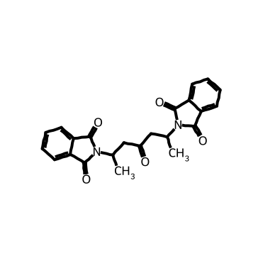 CC(CC(=O)CC(C)N1C(=O)c2ccccc2C1=O)N1C(=O)c2ccccc2C1=O